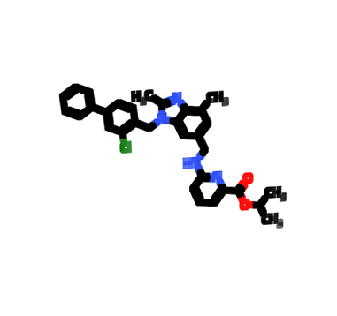 Cc1cc(CNc2cccc(C(=O)OC(C)C)n2)cc2c1nc(C)n2Cc1ccc(-c2ccccc2)cc1Cl